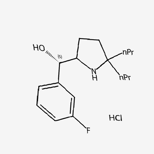 CCCC1(CCC)CCC([C@@H](O)c2cccc(F)c2)N1.Cl